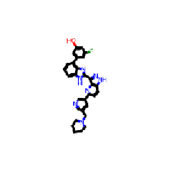 Oc1cc(F)cc(-c2cccc3[nH]c(-c4n[nH]c5ccc(-c6cncc(CN7CCCCC7)c6)nc45)nc23)c1